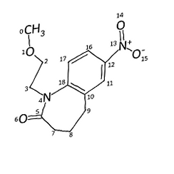 COCCN1C(=O)CCCc2cc([N+](=O)[O-])ccc21